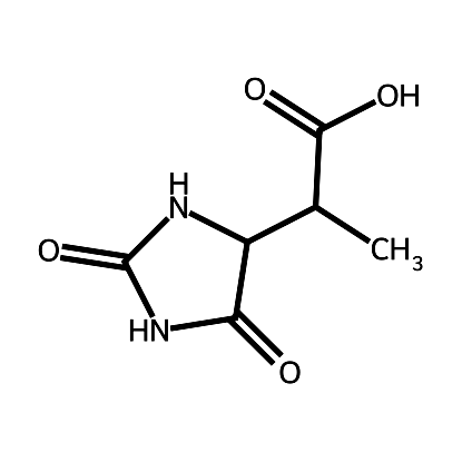 CC(C(=O)O)C1NC(=O)NC1=O